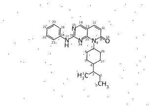 CCC(C)C1CCC(n2c(=O)ccc3cnc(Nc4ccccc4)nc32)CC1